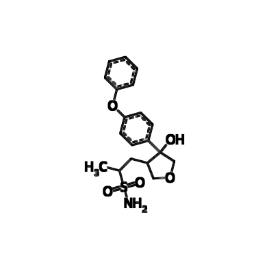 CC(CC1COCC1(O)c1ccc(Oc2ccccc2)cc1)S(N)(=O)=O